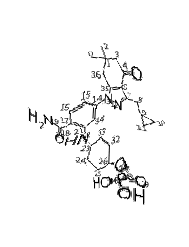 CC1(C)CC(=O)c2c(CC3CC3)nn(-c3ccc(C(N)=O)c(N[C@H]4CC[C@H](OP(=O)(O)O)CC4)c3)c2C1